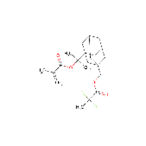 C=C(C)C(=O)OC(C)(C)C12CC3CC(CC(COC(=O)C(C)(F)F)(C3)C1)C2